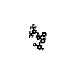 Fc1ccc(Cl)c(CN2CCN=C2c2nnn(Cc3cc(C(F)(F)F)cc(C(F)(F)F)c3)c2-c2ccccc2)c1